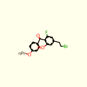 CCCOc1ccc(C(=O)c2c(O)cc(CCBr)cc2F)cc1